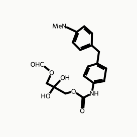 CNc1ccc(Cc2ccc(NC(=O)OCC(O)(O)COC=O)cc2)cc1